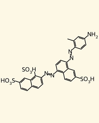 Cc1cc(N)ccc1N=Nc1ccc(N=Nc2ccc3ccc(S(=O)(=O)O)cc3c2S(=O)(=O)O)c2ccc(S(=O)(=O)O)cc12